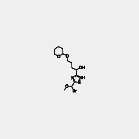 COC(Br)c1n[nH]c(C(O)CCCOC2CCCCO2)n1